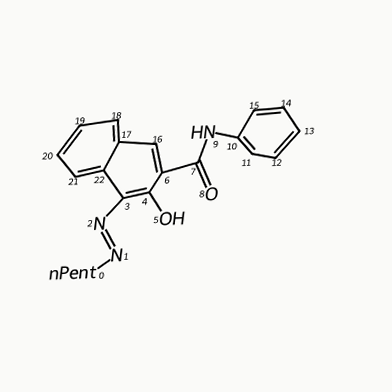 CCCCCN=Nc1c(O)c(C(=O)Nc2ccccc2)cc2ccccc12